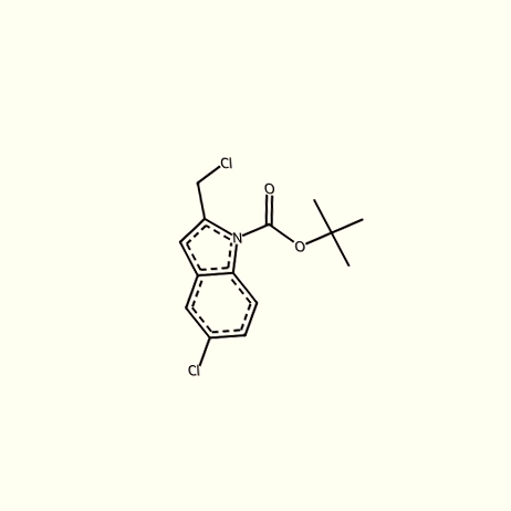 CC(C)(C)OC(=O)n1c(CCl)cc2cc(Cl)ccc21